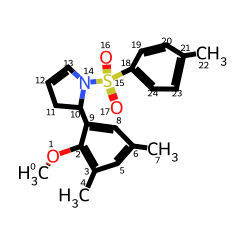 COc1c(C)cc(C)cc1C1CC=CN1S(=O)(=O)c1ccc(C)cc1